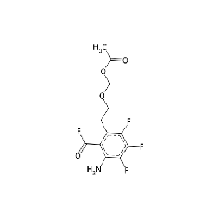 CC(=O)OCOCCc1c(F)c(F)c(F)c(N)c1C(=O)F